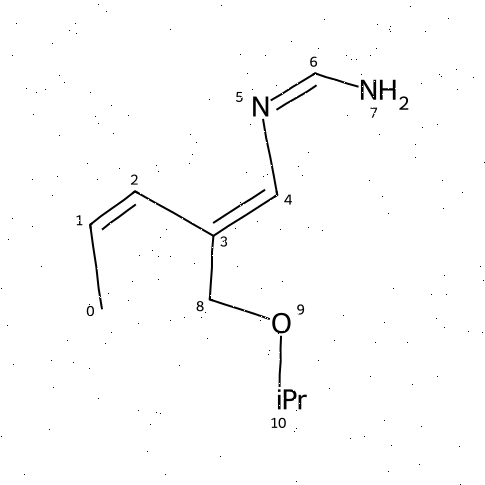 C\C=C/C(=C\N=C/N)COC(C)C